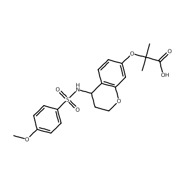 COc1ccc(S(=O)(=O)NC2CCOc3cc(OC(C)(C)C(=O)O)ccc32)cc1